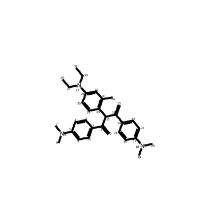 C=C(c1ccc(N(C)C)cc1)C(C(=C)c1ccc(N(C)C)cc1)c1ccc(N(CC)CC)cc1C